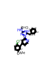 COc1ccc(Cl)c(-c2ccnc(N3N=C(NC=O)NC3Cc3ccccc3)c2)c1